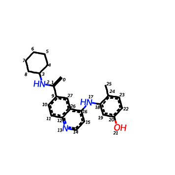 C=C(NC1CCCCC1)c1ccc2nccc(Nc3cc(O)ccc3C)c2c1